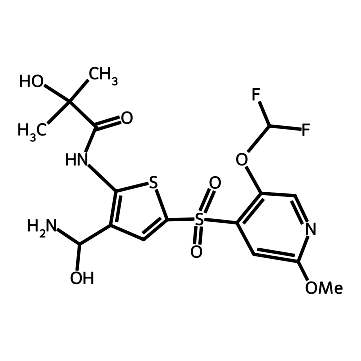 COc1cc(S(=O)(=O)c2cc(C(N)O)c(NC(=O)C(C)(C)O)s2)c(OC(F)F)cn1